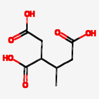 CC(CC(=O)O)C(CC(=O)O)C(=O)O